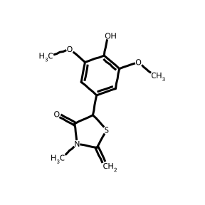 C=C1SC(c2cc(OC)c(O)c(OC)c2)C(=O)N1C